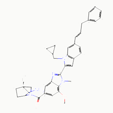 COc1cc(C(=O)N2C[C@H]3CCC2C3N)cc2nc(-c3cc4ccc(/C=C/Cc5ccccc5)cc4n3CC3CC3)n(C)c12